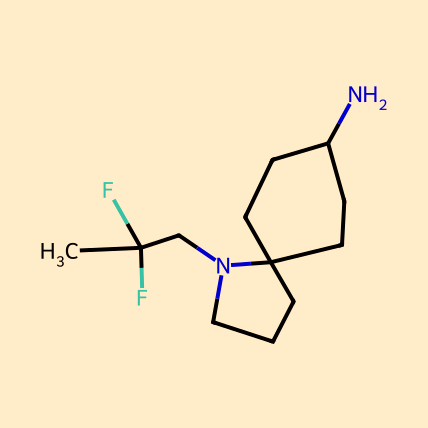 CC(F)(F)CN1CCCC12CCC(N)CC2